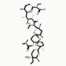 CC[C@@H](C(=O)[C@@H](C)[C@@H](O)[C@H](C)[C@@H]1O[C@@H]([C@@H](CC)C(=O)O)CC[C@@H]1C)[C@H]1O[C@]2(CC[C@@H](OC(=O)N(C)C)[C@]3(CC[C@@](C)([C@H]4CC[C@](O)(CC)[C@H](C)O4)O3)O2)[C@H](C)C[C@@H]1C